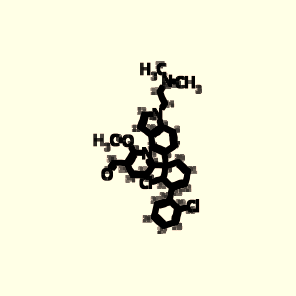 COc1nc(C2(c3ccc4c(ccn4CCN(C)C)c3)C=CC=C(c3ccccc3Cl)C2Cl)ccc1C=O